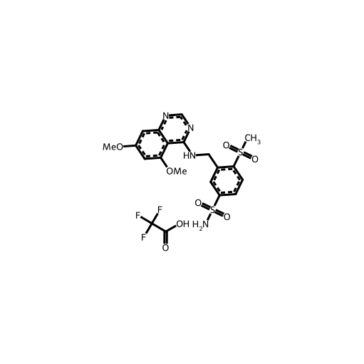 COc1cc(OC)c2c(NCc3cc(S(N)(=O)=O)ccc3S(C)(=O)=O)ncnc2c1.O=C(O)C(F)(F)F